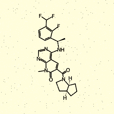 C[C@@H](Nc1ncnc2c1cc(C(=O)N1CC[C@@H]3CCC[C@@H]31)c(=O)n2C)c1cccc(C(F)F)c1F